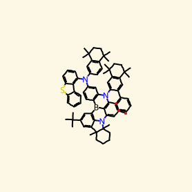 Cc1cc2c3c(c1)N1c4c(cc(C(C)(C)C)cc4C4(C)CCCCC14C)B3c1ccc(N(c3ccc4c(c3)C(C)(C)CCC4(C)C)c3cccc4sc5ccccc5c34)cc1N2c1cc2c(cc1-c1ccccc1)C(C)(C)CCC2(C)C